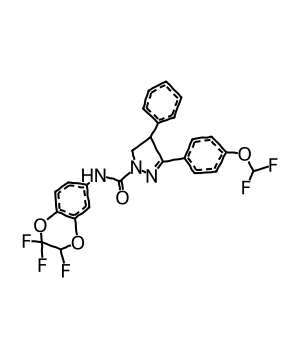 O=C(Nc1ccc2c(c1)OC(F)C(F)(F)O2)N1CC(c2ccccc2)C(c2ccc(OC(F)F)cc2)=N1